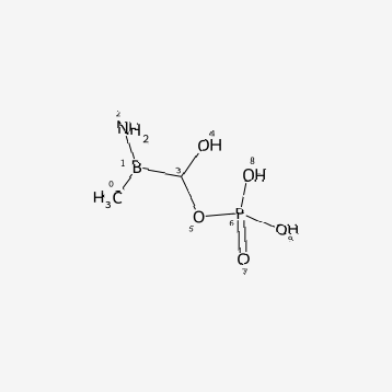 CB(N)C(O)OP(=O)(O)O